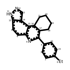 CCc1ccc(-c2nc3ccc4[nH]ncc4c3c3c2CCCC3)cc1